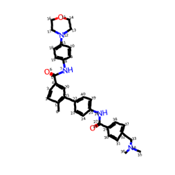 Cc1ccc(C(=O)Nc2ccc(N3CCOCC3)cc2)cc1-c1ccc(NC(=O)c2ccc(CN(C)C)cc2)cc1